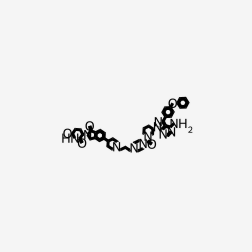 Nc1ncnc2c1c(-c1ccc(Oc3ccccc3)cc1)nn2C1CCCN(C(=O)N2CCN(CCCN3CCC(c4ccc5c(c4)CN(C4CCC(=O)NC4=O)C5=O)CC3)CC2)C1